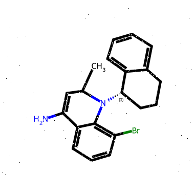 CC1C=C(N)c2cccc(Br)c2N1[C@H]1CCCc2ccccc21